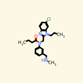 CCCC(=O)N(Cc1nc2ccc(Cl)cc2n1CCC)c1cccc(CNC)c1